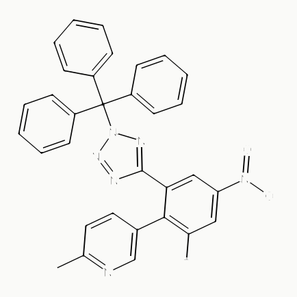 Cc1ccc(-c2c(F)cc([N+](=O)[O-])cc2-c2nnn(C(c3ccccc3)(c3ccccc3)c3ccccc3)n2)cn1